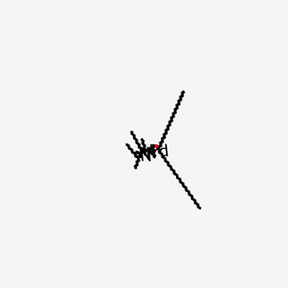 CCCCCCCCC1=C(c2cc(CCCCC)cc(CCCCC)c2)[N+](=[N-])C(c2cc(CC)cc(CC)c2)=C1CCCC.CCCCCCCCCCCCCCCCCCCCCCCCCCC[CH2][Pd][CH2]CCCCCCCCCCCCCCCCCCCCCCCCCCC